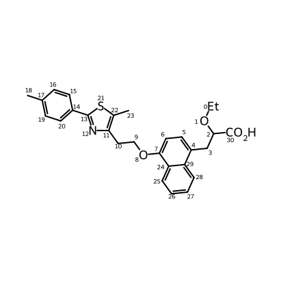 CCOC(Cc1ccc(OCCc2nc(-c3ccc(C)cc3)sc2C)c2ccccc12)C(=O)O